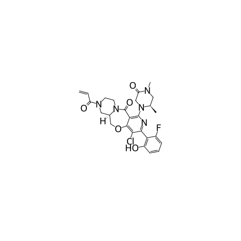 C=CC(=O)N1CCN2C(=O)c3c(N4CC(=O)N(C)C[C@H]4C)nc(-c4c(O)cccc4F)c(Cl)c3OC[C@H]2C1